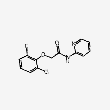 O=C(COc1c(Cl)cccc1Cl)Nc1ccccn1